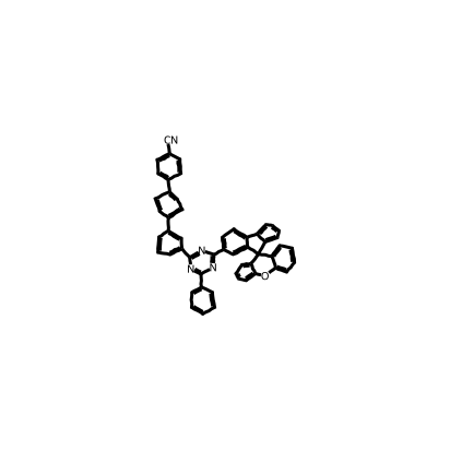 N#Cc1ccc(-c2ccc(-c3cccc(-c4nc(-c5ccccc5)nc(-c5ccc6c(c5)C5(c7ccccc7Oc7ccccc75)c5ccccc5-6)n4)c3)cc2)cc1